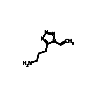 C=Cn1nnnc1CCCN